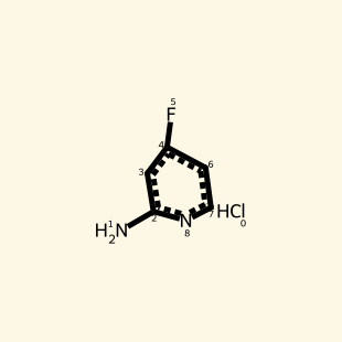 Cl.Nc1cc(F)ccn1